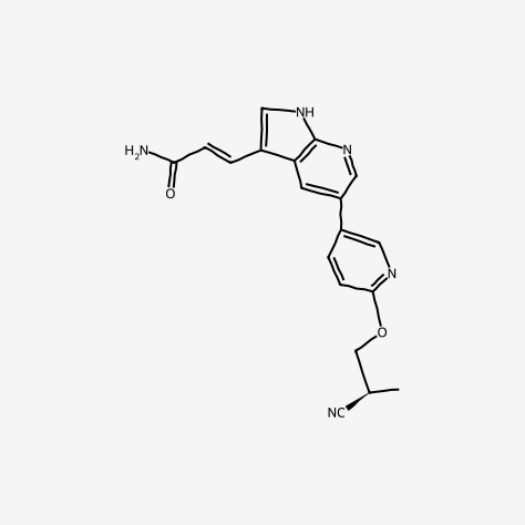 C[C@@H](C#N)COc1ccc(-c2cnc3[nH]cc(C=CC(N)=O)c3c2)cn1